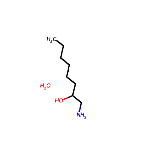 CCCCCCC(O)CN.O